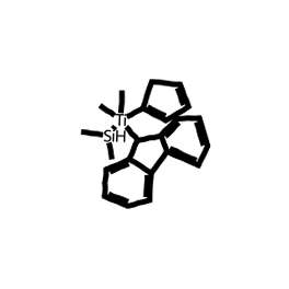 C[SiH](C)[Ti]([CH3])([CH3])([C]1=CC=CC1)[CH]1c2ccccc2-c2ccccc21